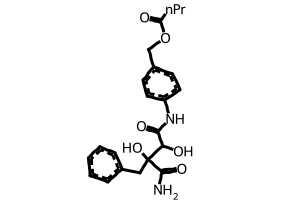 CCCC(=O)OCc1ccc(NC(=O)C(O)C(O)(Cc2ccccc2)C(N)=O)cc1